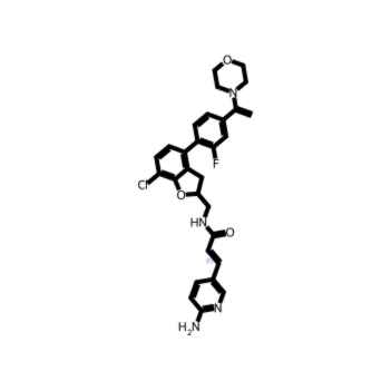 C=C(c1ccc(-c2ccc(Cl)c3c2CC(CNC(=O)/C=C/c2ccc(N)nc2)O3)c(F)c1)N1CCOCC1